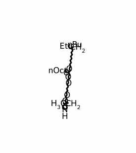 C=C(CCCCCCCCCOCC(COCCOCCCCCOCCOC(=C)C1(C)CCNCC1)OCCCCCCCC)CC(CC)CCCC